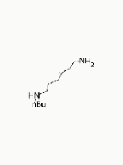 CCCCNCCC[CH]CCN